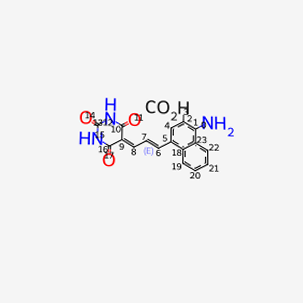 Nc1c(C(=O)O)cc(/C=C/C=C2C(=O)NC(=O)NC2=O)c2ccccc12